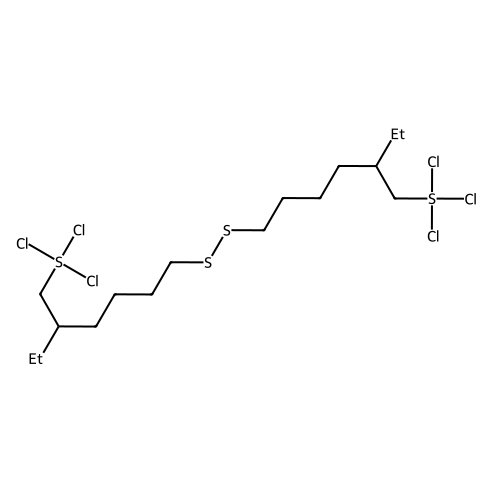 CCC(CCCCSSCCCCC(CC)CS(Cl)(Cl)Cl)CS(Cl)(Cl)Cl